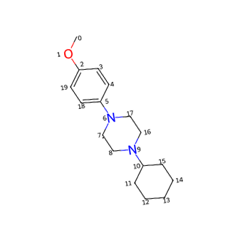 COc1ccc(N2[CH]CN(C3CCCCC3)CC2)cc1